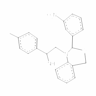 Cc1ccc(C(N)CN2c3ccccc3COC2c2cccc([N+](=O)[O-])c2)cc1